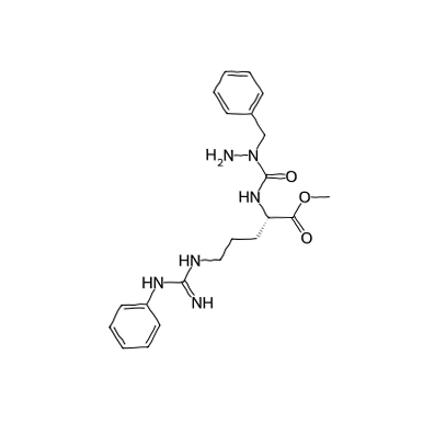 COC(=O)[C@H](CCCNC(=N)Nc1ccccc1)NC(=O)N(N)Cc1ccccc1